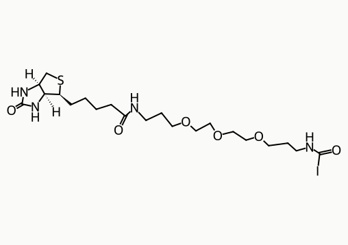 O=C(I)NCCCOCCOCCOCCCNC(=O)CCCC[C@@H]1SC[C@@H]2NC(=O)N[C@@H]21